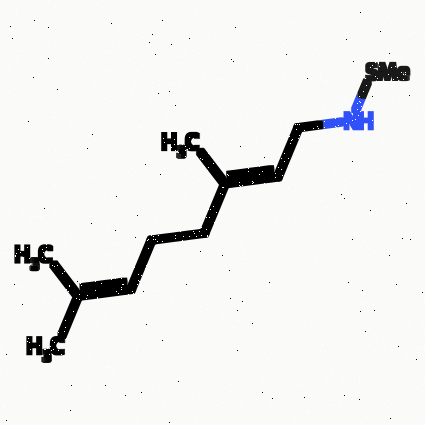 CSNC/C=C(\C)CCC=C(C)C